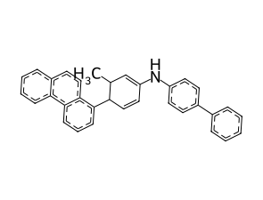 CC1C=C(Nc2ccc(-c3ccccc3)cc2)C=CC1c1cccc2c1ccc1ccccc12